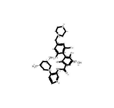 C[C@@H]1C[C@H](N)CN(c2ccncc2NC(=O)c2ccc(F)c(-c3c(F)cc(CN4CCOCC4)cc3F)c2F)C1.Cl.Cl